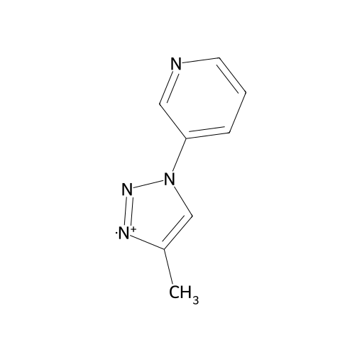 CC1=CN(c2cccnc2)N=[N+]1